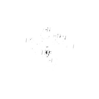 Cc1n[nH]c2c1C[C@@]1(O)[C@H]3Cc4ccc(O)c(-c5ccncc5)c4[C@@]1(CCN3CC1CC1)C2